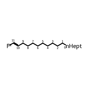 CCCCCCCCCCCCCCCC/C=C/F